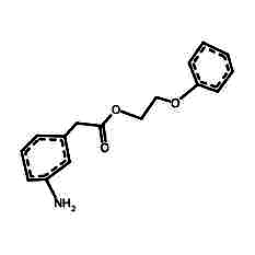 Nc1cccc(CC(=O)OCCOc2ccccc2)c1